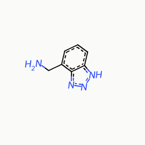 NCc1cccc2[nH]nnc12